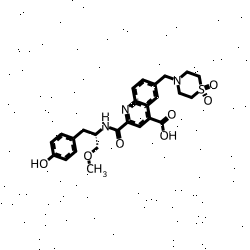 COC[C@H](Cc1ccc(O)cc1)NC(=O)c1cc(C(=O)O)c2cc(CN3CCS(=O)(=O)CC3)ccc2n1